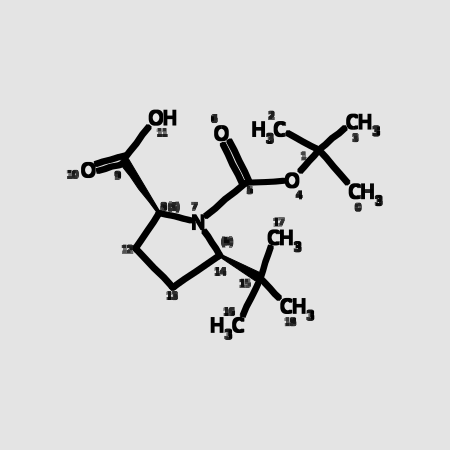 CC(C)(C)OC(=O)N1[C@H](C(=O)O)CC[C@@H]1C(C)(C)C